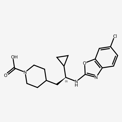 O=C(O)N1CCC(C[C@H](Nc2nc3ccc(Cl)cc3o2)C2CC2)CC1